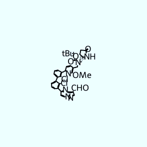 COc1nc(-c2cccc(-c3cccc(-c4ccn5ncc(C=O)c5n4)c3Cl)c2Cl)ccc1CN(C[C@@H]1CCC(=O)N1)C(=O)OC(C)(C)C